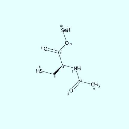 CC(=O)N[C@@H](CS)C(=O)O[SeH]